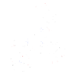 O=C(CC1(NC(=O)[C@@H]2C[C@@H](NC(=O)c3ccc4c(c3)B(O)OC4)CN2C(=O)c2ccc3c(c2)B(O)OC3)CCOCC1)ON1C(=O)CCC1=O